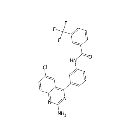 Nc1nc(-c2cccc(NC(=O)c3cccc(C(F)(F)F)c3)c2)c2cc(Cl)ccc2n1